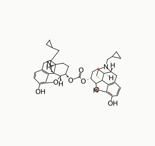 O=C(O[C@@H]1CC[C@H]2C3Cc4ccc(O)c5c4[C@@]2(CCN3CC2CC2)[C@H]1O5)O[C@@H]1CC[C@H]2[C@H]3Cc4ccc(O)c5c4[C@@]2(CCN3CC2CC2)[C@H]1O5